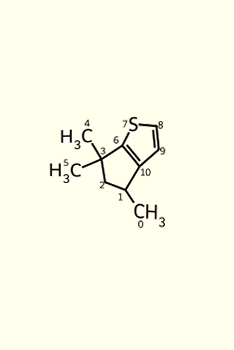 CC1CC(C)(C)c2sccc21